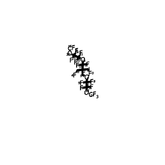 FCC(CF)(COC(F)(F)C(F)(F)OC(F)(F)F)C(F)(F)OC(F)(F)C(F)(F)OC(F)(F)F